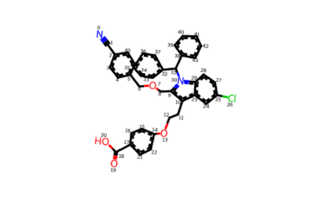 N#Cc1ccc(COCc2c(CCOc3ccc(C(=O)O)cc3)c3cc(Cl)ccc3n2C(c2ccccc2)c2ccccc2)cc1